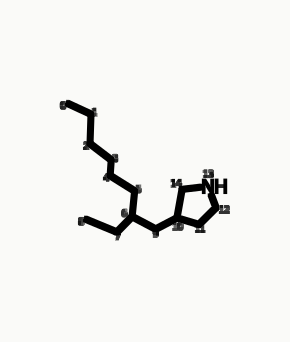 CCCCCCC(CC)CC1CCNC1